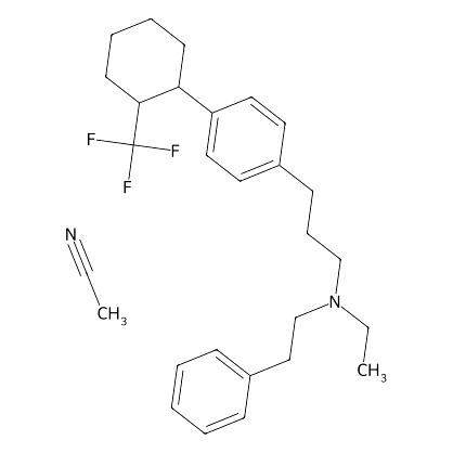 CC#N.CCN(CCCc1ccc(C2CCCCC2C(F)(F)F)cc1)CCc1ccccc1